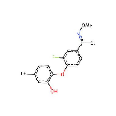 CCC(=NOC)c1ccc(Oc2ccc(CC)cc2O)c(F)c1